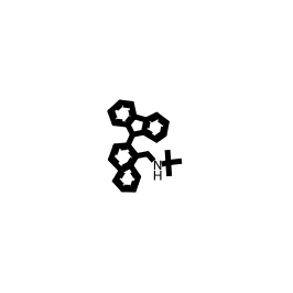 CC(C)(C)NCc1c(C2c3ccccc3-c3ccccc32)ccc2ccccc12